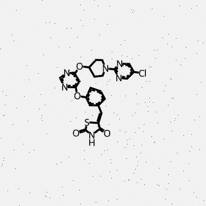 O=C1NC(=O)C(=Cc2cccc(Oc3cc(OC4CCN(c5ncc(Cl)cn5)CC4)ncn3)c2)S1